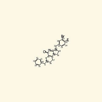 O=c1nc2n(c3c1CN(Cc1ccccc1)CC3)CCN2Cc1ccc(F)c(Br)c1